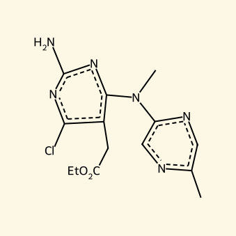 CCOC(=O)Cc1c(Cl)nc(N)nc1N(C)c1cnc(C)cn1